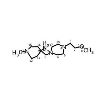 COCCN1CCN(CC2(N)CCN(C)CC2)CC1